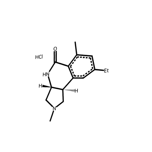 CCc1cc(C)c2c(c1)[C@H]1CN(C)C[C@@H]1NC2=O.Cl